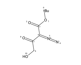 CC(C)(C)OC(=O)C(=[N+]=[N-])C(=O)CO